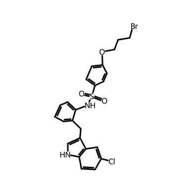 O=S(=O)(Nc1ccccc1Cc1c[nH]c2ccc(Cl)cc12)c1ccc(OCCCBr)cc1